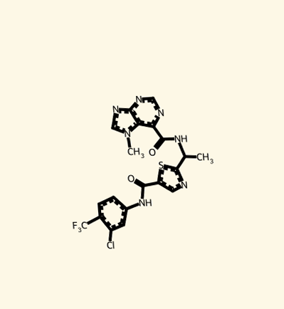 CC(NC(=O)c1ncnc2ncn(C)c12)c1ncc(C(=O)Nc2ccc(C(F)(F)F)c(Cl)c2)s1